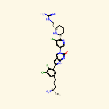 C[C@H](N)CCCc1cc(Cl)c(F)c(-c2cc3cn(-c4cnc([C@@H]5CCC[C@@H](CCNC(=N)N)N5)c(Cl)c4)c(=O)nc3[nH]2)c1